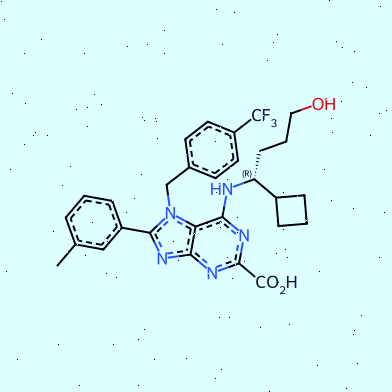 Cc1cccc(-c2nc3nc(C(=O)O)nc(N[C@H](CCCO)C4CCC4)c3n2Cc2ccc(C(F)(F)F)cc2)c1